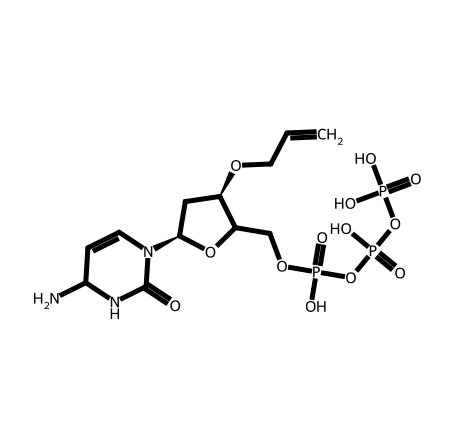 C=CCO[C@@H]1C[C@H](N2C=CC(N)NC2=O)OC1COP(=O)(O)OP(=O)(O)OP(=O)(O)O